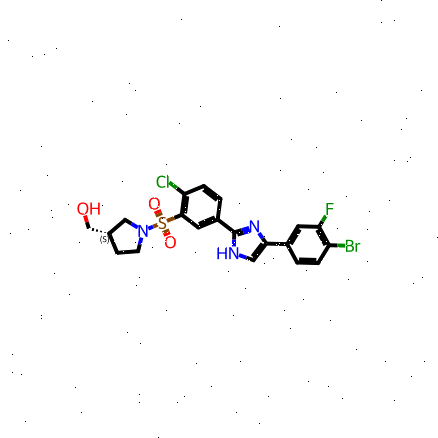 O=S(=O)(c1cc(-c2nc(-c3ccc(Br)c(F)c3)c[nH]2)ccc1Cl)N1CC[C@H](CO)C1